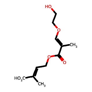 CC(=CCOC(=O)C(C)=COCCO)C(=O)O